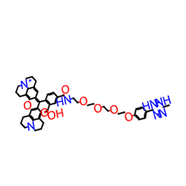 CC1=NN=C(c2ccc(OCCOCCOCCOCCNC(=O)c3ccc(C4=c5cc6c7c(c5Oc5c4cc4c8c5CCCN8CCC4)CCC[N+]=7CCC6)c(C(=O)O)c3)cc2)NN1